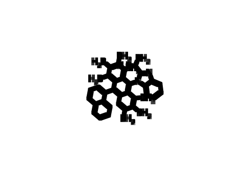 Bc1cc2c(-c3cccc4ccccc34)c3c(B)c(B)c(B)c(B)c3c(-n3c(C(B)B)nc4ccccc43)c2c(B)c1B